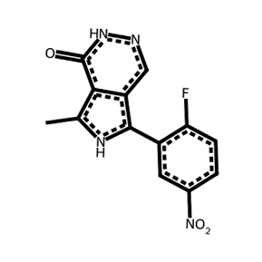 Cc1[nH]c(-c2cc([N+](=O)[O-])ccc2F)c2cn[nH]c(=O)c12